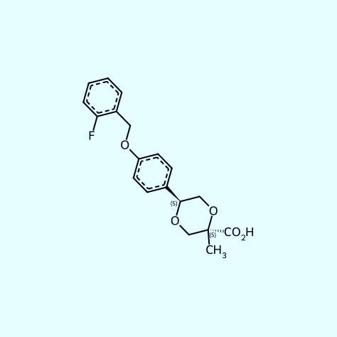 C[C@@]1(C(=O)O)CO[C@@H](c2ccc(OCc3ccccc3F)cc2)CO1